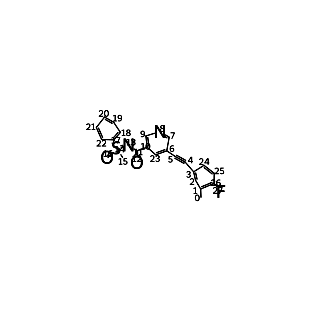 Cc1cc(C#Cc2cncc(C(=O)N=S(C)(=O)c3ccccc3)c2)ccc1F